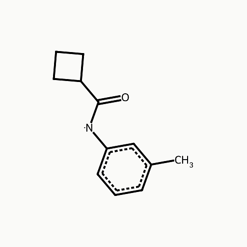 Cc1cccc([N]C(=O)C2CCC2)c1